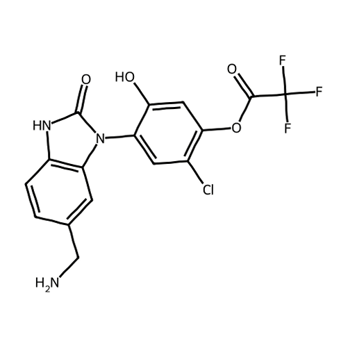 NCc1ccc2[nH]c(=O)n(-c3cc(Cl)c(OC(=O)C(F)(F)F)cc3O)c2c1